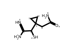 N=C(N)C(S)C1(CC(N)=O)CC1